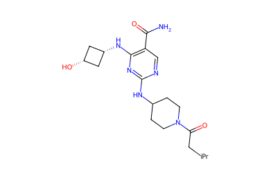 CC(C)CC(=O)N1CCC(Nc2ncc(C(N)=O)c(N[C@H]3C[C@@H](O)C3)n2)CC1